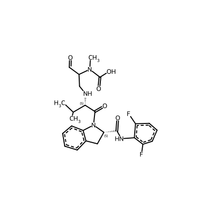 CC(C)[C@H](NCC(C=O)N(C)C(=O)O)C(=O)N1c2ccccc2C[C@H]1C(=O)Nc1c(F)cccc1F